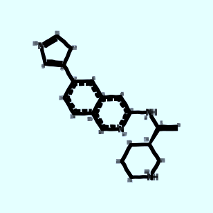 C=C(Nc1cc2cc(C3=CN=CC3)ccc2cn1)[C@@H]1CCCNC1